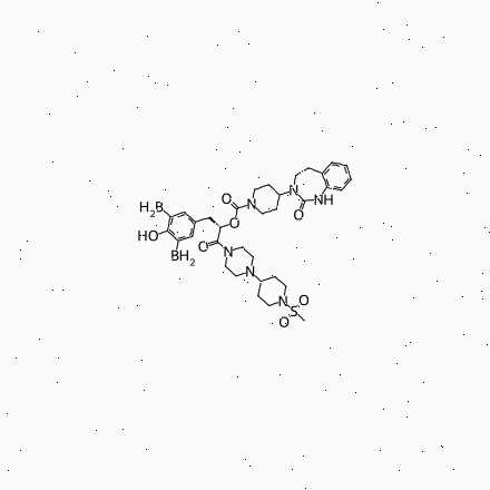 Bc1cc(C[C@@H](OC(=O)N2CCC(N3CCc4ccccc4NC3=O)CC2)C(=O)N2CCN(C3CCN(S(C)(=O)=O)CC3)CC2)cc(B)c1O